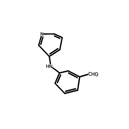 O=Cc1cccc(Nc2cccnc2)c1